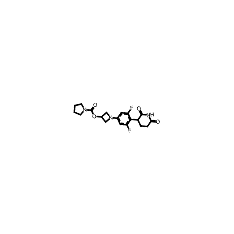 O=C1CCC(c2c(F)cc(N3CC(OC(=O)N4CCCC4)C3)cc2F)C(=O)N1